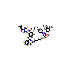 CC(COc1ccc(C#N)cc1)(OCCCCCCn1nc(Cc2ccc(F)c(C(=O)N3CCN(C(=O)C4CC4)CC3)c2)c2ccccc2c1=O)C(=O)Nc1ccc(C#N)c(C(F)(F)F)c1